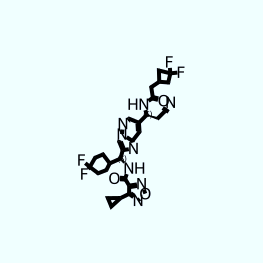 N#CC[C@H](NC(=O)CC1CC(F)(F)C1)c1cnn2cc([C@@H](NC(=O)c3nonc3C3CC3)C3CCC(F)(F)CC3)nc2c1